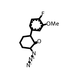 COc1cc(C2CCCC(N=[N+]=[N-])C2=O)ccc1F